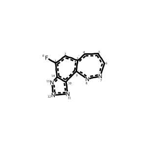 Fc1cc2cccnnc2c2nnnc12